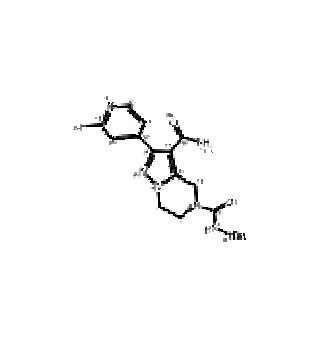 CC(C)(C)NC(=O)N1CCn2nc(-c3ccnc(F)c3)c(C(N)=O)c2C1